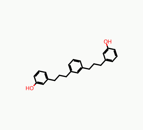 Oc1cccc(CCCc2cccc(CCCc3cccc(O)c3)c2)c1